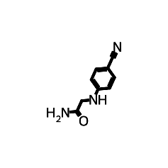 N#Cc1ccc(NCC(N)=O)cc1